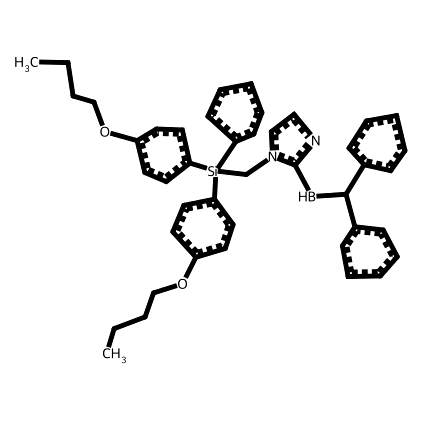 CCCCOc1ccc([Si](Cn2ccnc2BC(c2ccccc2)c2ccccc2)(c2ccccc2)c2ccc(OCCCC)cc2)cc1